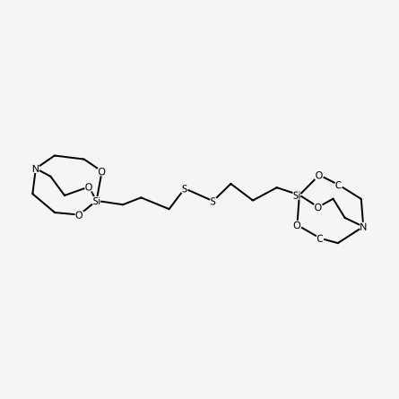 C(CSSCCC[Si]12OCCN(CCO1)CCO2)C[Si]12OCCN(CCO1)CCO2